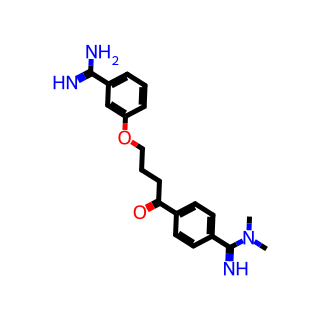 CN(C)C(=N)c1ccc(C(=O)CCCOc2cccc(C(=N)N)c2)cc1